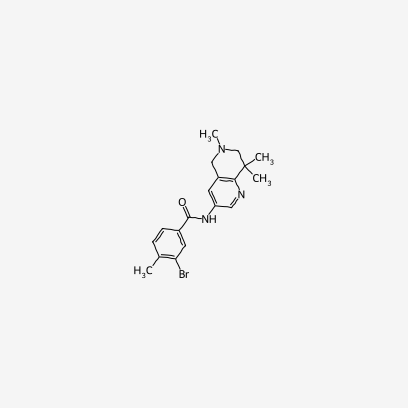 Cc1ccc(C(=O)Nc2cnc3c(c2)CN(C)CC3(C)C)cc1Br